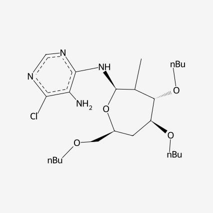 CCCCOC[C@@H]1C[C@H](OCCCC)[C@@H](OCCCC)C(C)[C@H](Nc2ncnc(Cl)c2N)O1